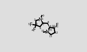 CN1CC(F)(F)CC1C[C@H]1[C@H](F)CCN1C